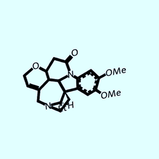 CC[C@H]1N2CC[C@@]13c1cc(OC)c(OC)cc1N1C(=O)CC4OCC=C(C2)C4C13